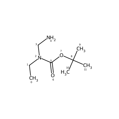 CCN(CN)C(=O)OC(C)(C)C